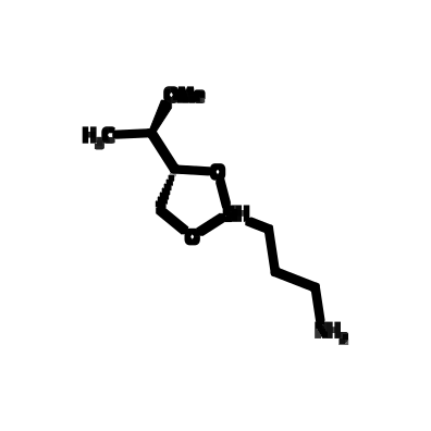 CO[C@H](C)[C@H]1CO[SiH](CCCN)O1